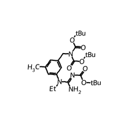 CCN(C(N)=NC(=O)OC(C)(C)C)c1cc(C)cc(CN(C(=O)OC(C)(C)C)C(=O)OC(C)(C)C)c1